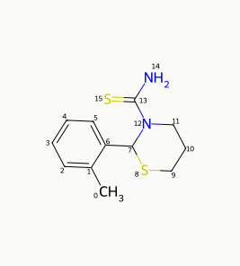 Cc1ccccc1C1SCCCN1C(N)=S